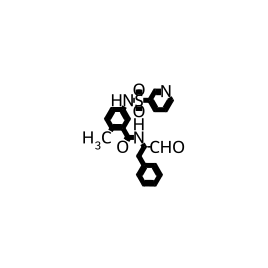 Cc1ccc(NS(=O)(=O)c2cccnc2)cc1C(=O)N[C@H](C=O)Cc1ccccc1